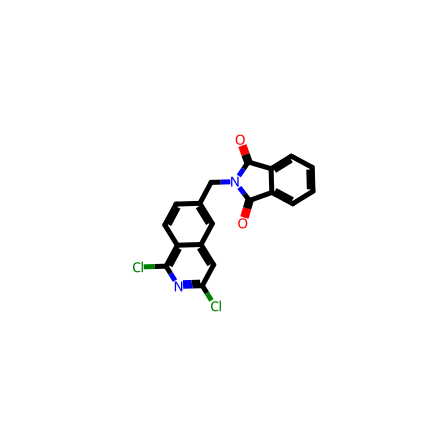 O=C1c2ccccc2C(=O)N1Cc1ccc2c(Cl)nc(Cl)cc2c1